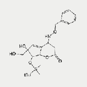 CC(C)(C)[Si](C)(C)OC1C2OC(=O)CC(NOCc3ccccc3)C2=CC1(O)CO